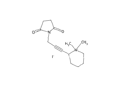 C[N+]1(C)CCCCC1C#CCN1C(=O)CCC1=O.[I-]